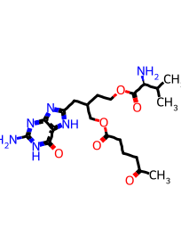 CC(=O)CCCC(=O)OCC(CCOC(=O)[C@@H](N)C(C)C)Cc1nc2nc(N)[nH]c(=O)c2[nH]1